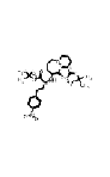 CC(C)(C)OC(=O)[C@H](CCc1ccc([N+](=O)[O-])cc1)N[C@H]1CCCN2CCC[C@@H](C(=O)OC(C)(C)C)N2C1=O